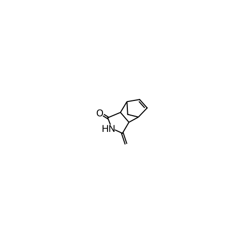 C=C1NC(=O)C2C3C=CC(C3)C12